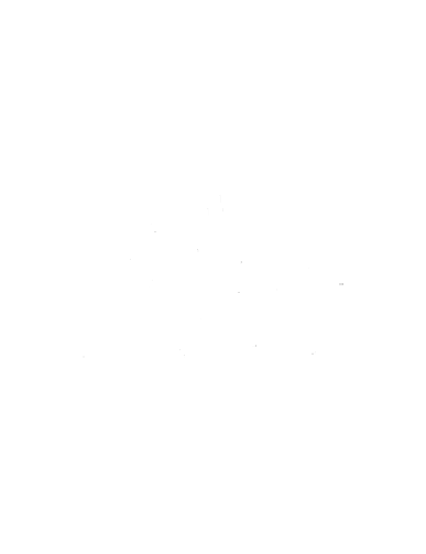 CC(C)c1ccc(C(C)C)c(-c2ccc3c([c]2[Zr+2])Cc2ccccc2-3)c1.[Cl-].[Cl-]